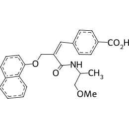 COCC(C)NC(=O)C(=Cc1ccc(C(=O)O)cc1)COc1cccc2ccccc12